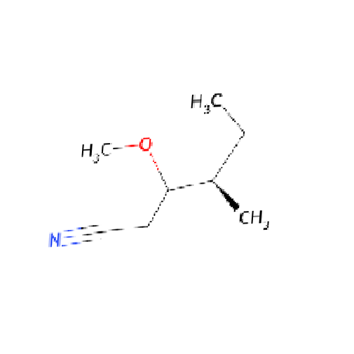 CC[C@@H](C)C(CC#N)OC